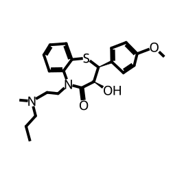 CCCN(C)CCN1C(=O)[C@H](O)[C@H](c2ccc(OC)cc2)Sc2ccccc21